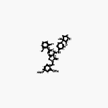 CCC1(c2ccc(Nc3nc(-c4c(F)cccc4F)nc4c3C(=O)N(Cc3ccc(OC)cc3OC)C4)cc2)CCNC1=O